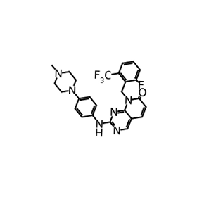 CN1CCN(c2ccc(Nc3ncc4ccc(=O)n(Cc5c(F)cccc5C(F)(F)F)c4n3)cc2)CC1